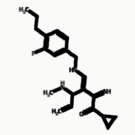 C=CC(NC)/C(=C\NCc1ccc(CCC)c(F)c1)C(=N)C(=O)C1CC1